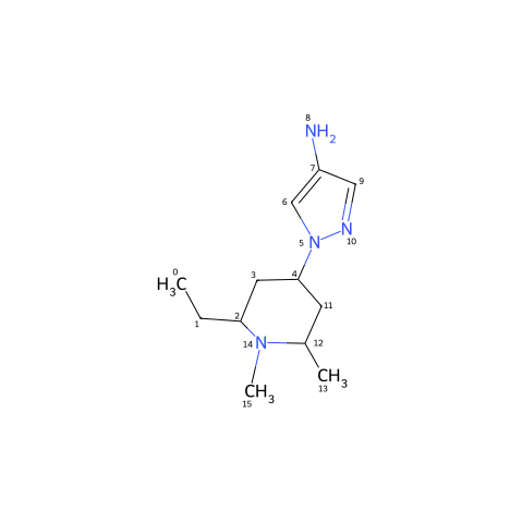 CCC1CC(n2cc(N)cn2)CC(C)N1C